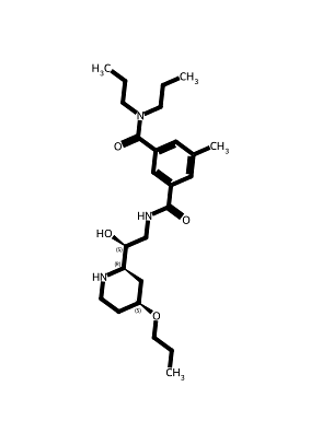 CCCO[C@H]1CCN[C@@H]([C@@H](O)CNC(=O)c2cc(C)cc(C(=O)N(CCC)CCC)c2)C1